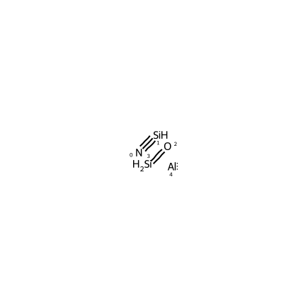 N#[SiH].O=[SiH2].[Al]